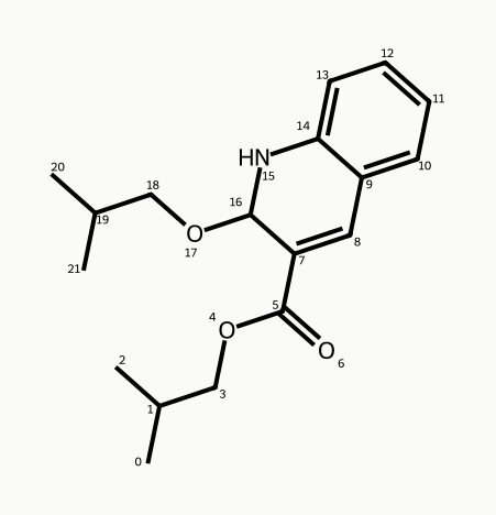 CC(C)COC(=O)C1=Cc2ccccc2NC1OCC(C)C